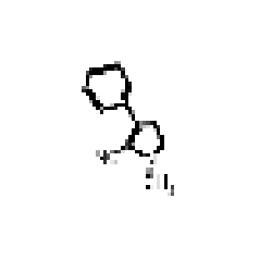 CN1CCC(c2ccccc2)=C1C#N